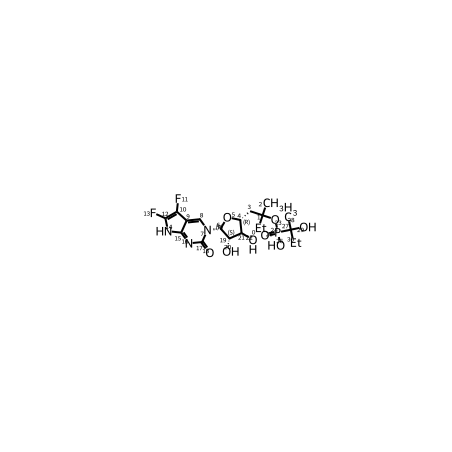 CCC(C)(C[C@H]1O[C@@H](n2cc3c(F)c(F)[nH]c3nc2=O)[C@@H](O)C1O)OP(=O)(O)C(C)(O)CC